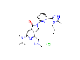 CCCn1c(C)nnc1-c1cccc(N2Cc3c(cc(N(C)C(C)C)nc3CNC)C2=O)n1.Cl